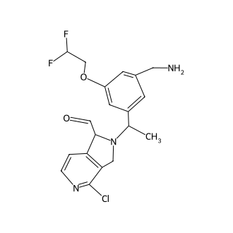 CC(c1cc(CN)cc(OCC(F)F)c1)N1Cc2c(ccnc2Cl)C1C=O